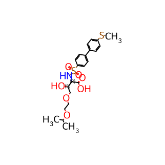 CSc1ccc(-c2ccc(S(=O)(=O)N[C@@H](C(=O)O)[C@H](O)COCCOC(C)C)cc2)cc1